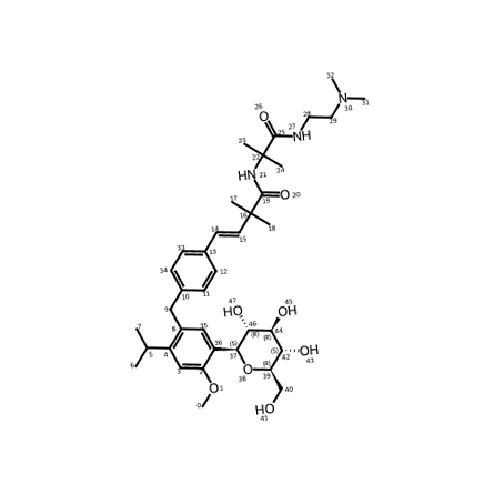 COc1cc(C(C)C)c(Cc2ccc(C=CC(C)(C)C(=O)NC(C)(C)C(=O)NCCN(C)C)cc2)cc1[C@@H]1O[C@H](CO)[C@@H](O)[C@H](O)[C@H]1O